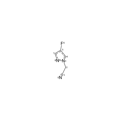 N#CCn1cc(F)cn1